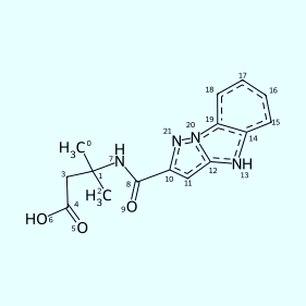 CC(C)(CC(=O)O)NC(=O)c1cc2[nH]c3ccccc3n2n1